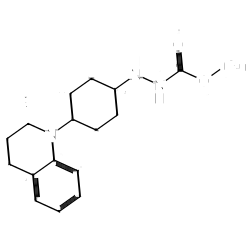 C[C@H]1CCc2ccccc2N1C1CCC(NNC(=O)OC(C)(C)C)CC1